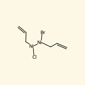 C=C[CH2][Ni]([Cl])[Ni]([Br])[CH2]C=C